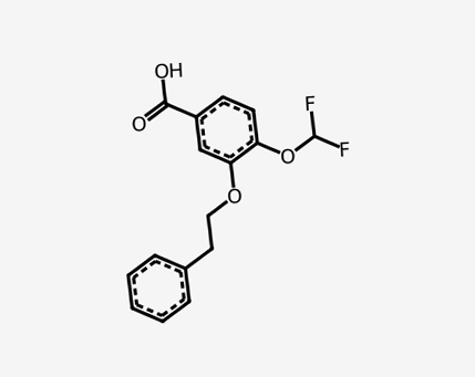 O=C(O)c1ccc(OC(F)F)c(OCCc2ccccc2)c1